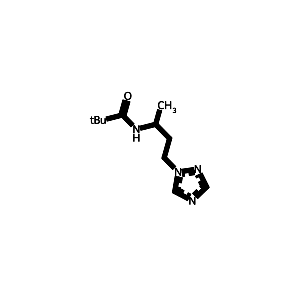 CC(CCn1cncn1)NC(=O)C(C)(C)C